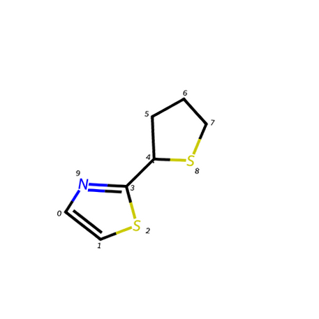 c1csc([C]2CCCS2)n1